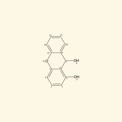 Oc1cccc2c1C(O)c1ccccc1O2